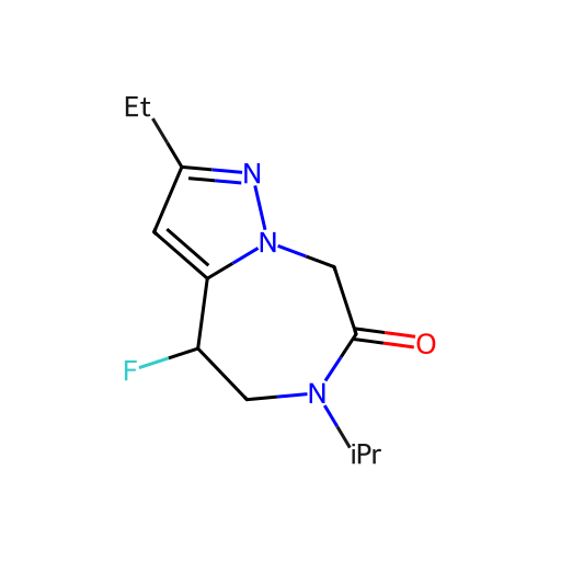 CCc1cc2n(n1)CC(=O)N(C(C)C)CC2F